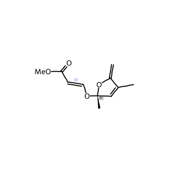 C=C1O[C@@](C)(O/C=C/C(=O)OC)C=C1C